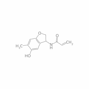 C=CC(=O)NC1COc2cc(C)c(O)cc21